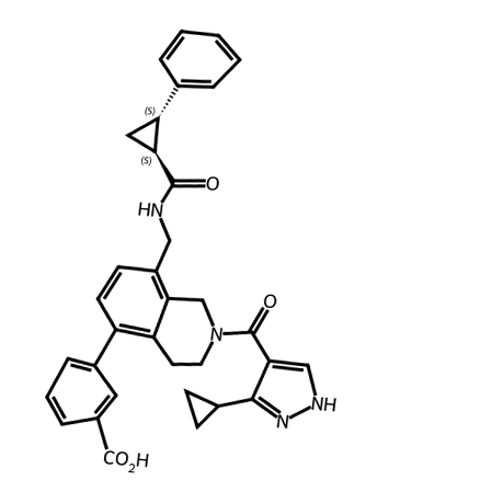 O=C(O)c1cccc(-c2ccc(CNC(=O)[C@H]3C[C@@H]3c3ccccc3)c3c2CCN(C(=O)c2c[nH]nc2C2CC2)C3)c1